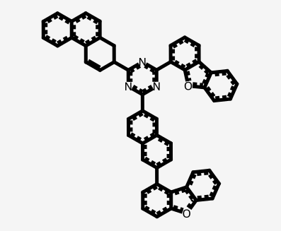 C1=CC(c2nc(-c3ccc4cc(-c5cccc6oc7ccccc7c56)ccc4c3)nc(-c3cccc4c3oc3ccccc34)n2)Cc2ccc3ccccc3c21